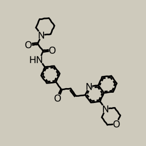 O=C(Nc1ccc(C(=O)C=Cc2cc(N3CCOCC3)c3ccccc3n2)cc1)C(=O)N1CCCCC1